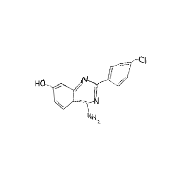 Nc1nc(-c2ccc(Cl)cc2)nc2cc(O)ccc12